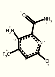 NC(=O)c1nc(Cl)cc(C(F)(F)F)c1N